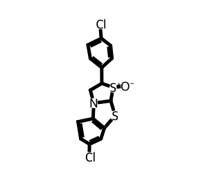 [O-][S+]1C(c2ccc(Cl)cc2)CN2c3ccc(Cl)cc3SC21